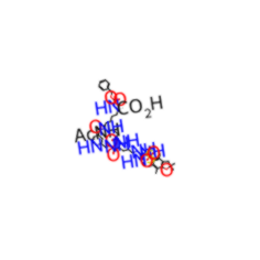 CC(=O)NCC(=O)N[C@@H](CCCNC(=N)NS(=O)(=O)c1c(C)c(C)c2c(c1C)CC(C)(C)O2)C(=O)NCC1CC(C(=O)NCCCC[C@H](NC(=O)OCc2ccccc2)C(=O)O)CCN1